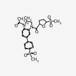 CC(=O)N1c2ccc(-c3ccc(S(C)(=O)=O)cc3)cc2N(C(=O)C2CCC(S(C)(=O)=O)O2)C[C@@H]1C